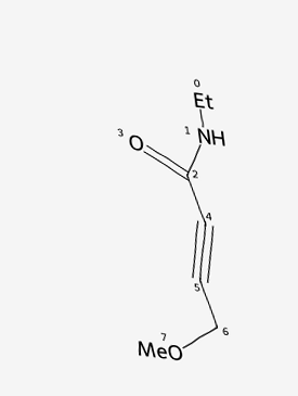 CCNC(=O)C#CCOC